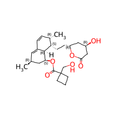 C[C@H]1C=C2C=C[C@H](C)[C@H](CC[C@@H]3C[C@@H](O)CC(=O)O3)[C@H]2[C@@H](OC(=O)C2(CO)CCC2)C1